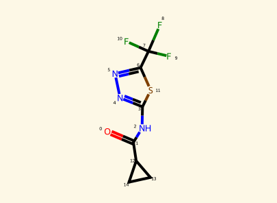 O=C(Nc1nnc(C(F)(F)F)s1)C1CC1